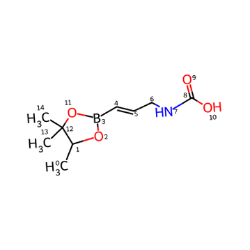 CC1OB(C=CCNC(=O)O)OC1(C)C